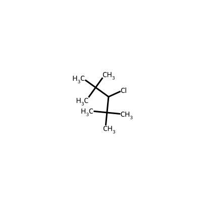 CC(C)(C)C(Cl)C(C)(C)C